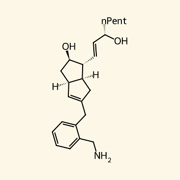 CCCCC[C@H](O)/C=C/[C@@H]1[C@H]2CC(Cc3ccccc3CN)=C[C@H]2C[C@H]1O